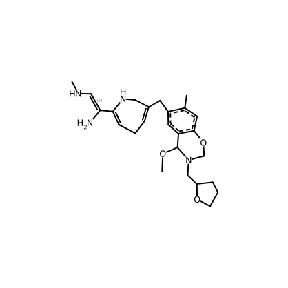 CN/C=C(\N)C1=CCC=C(Cc2cc3c(cc2C)OCN(CC2CCCO2)C3OC)CN1